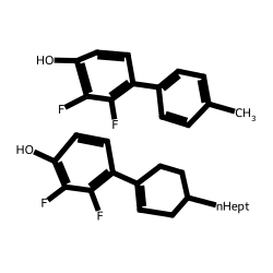 CCCCCCCC1CC=C(c2ccc(O)c(F)c2F)CC1.Cc1ccc(-c2ccc(O)c(F)c2F)cc1